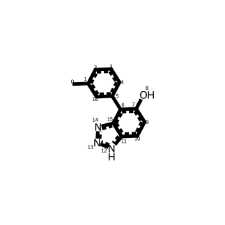 Cc1cccc(-c2c(O)ccc3[nH]nnc23)c1